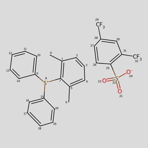 Cc1cccc(C)c1[S+](c1ccccc1)c1ccccc1.O=S(=O)([O-])c1ccc(C(F)(F)F)cc1C(F)(F)F